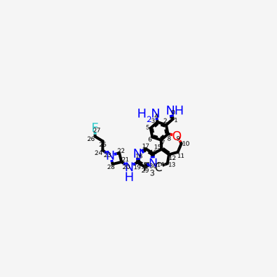 N=Cc1c(N)ccc2c1OCCC(CC(F)(F)F)=C2c1cnc(NC2CN(CCCF)C2)cn1